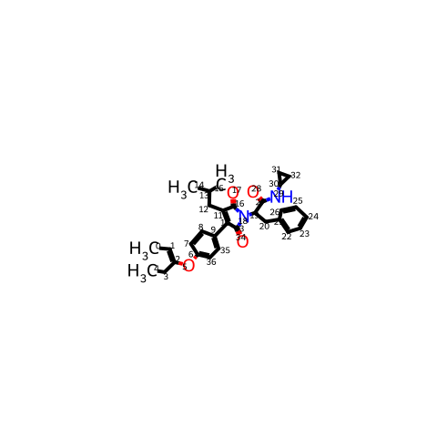 CC=C(CC)Oc1ccc(C2=C(CC(C)C)C(=O)N(C(Cc3ccccc3)C(=O)NC3CC3)C2=O)cc1